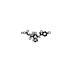 O=C(O)CNC(=O)c1c(O)cc(Sc2coc3cc(Cl)ccc23)n2ncnc12